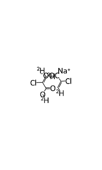 [2H]/C=C(\Cl)C(=O)[O-].[2H]OC(=O)C(Cl)=C([2H])[2H].[Na+]